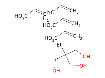 C=CC#N.C=CC(=O)O.C=CC(=O)O.C=CC(=O)O.CCC(CO)(CO)CO